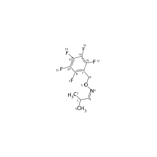 CC(C)/[C]=N\OCc1c(F)c(F)c(F)c(F)c1F